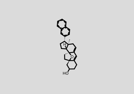 C[C@]12CC=C3C=C4CCC(O)C[C@]45CC[C@]3(O5)[C@@H]1CC[C@@H]2c1ccc2ccccc2c1